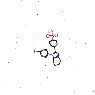 NS(=O)(=O)c1ccc(-c2cc3c(n2-c2ccc(F)cc2)CCCC3)cc1